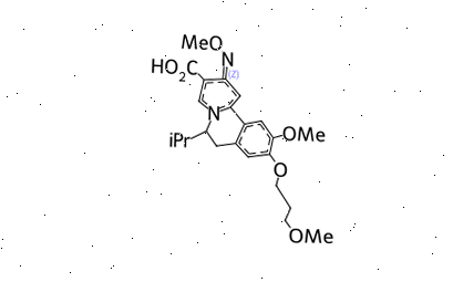 COCCCOc1cc2c(cc1OC)-c1c/c(=N/OC)c(C(=O)O)cn1C(C(C)C)C2